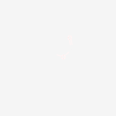 C=CC(=O)Oc1cccc2ccccc12